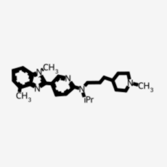 Cc1cccc2c1nc(-c1ccc(N(CCCC3CCN(C)CC3)C(C)C)nc1)n2C